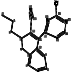 CCCC1Cc2ccccc2C(c2ccnc(Cl)n2)=C1C#N